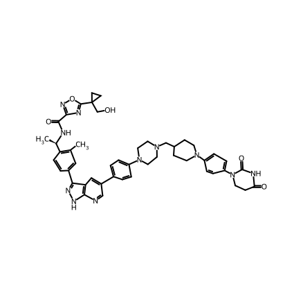 Cc1cc(-c2n[nH]c3ncc(-c4ccc(N5CCN(CC6CCN(c7ccc(N8CCC(=O)NC8=O)cc7)CC6)CC5)cc4)cc23)ccc1[C@@H](C)NC(=O)c1noc(C2(CO)CC2)n1